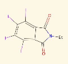 CCN1C(=O)c2c(I)c(I)c(I)c(I)c2C1=O